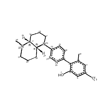 Cc1cc(C(F)(F)F)cc(O)c1-c1ccc(N2CCC[C@@H]3[C@H]2CCCN3C)nn1